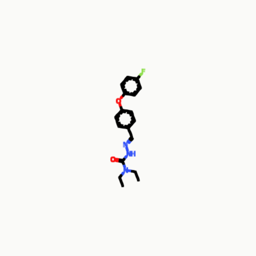 CCN(CC)C(=O)NN=Cc1ccc(Oc2ccc(F)cc2)cc1